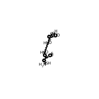 NC(S)c1cccc(-c2cn(C3CCC(F)(F)CC3)c3cc(NC(=O)CCCCCCNC(=O)COc4cccc5c4CN(C4CCC(=O)NC4=O)C5=O)ccc23)c1